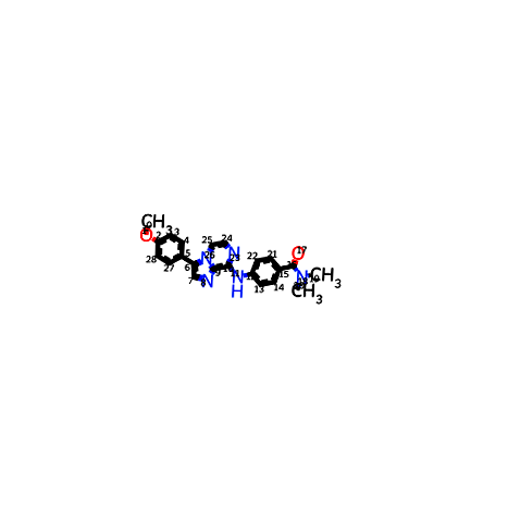 COc1ccc(-c2cnc3c(Nc4ccc(C(=O)N(C)C)cc4)nccn23)cc1